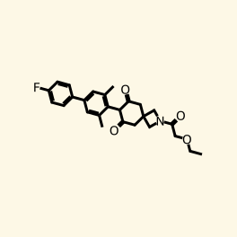 CCOCC(=O)N1CC2(CC(=O)C(c3c(C)cc(-c4ccc(F)cc4)cc3C)C(=O)C2)C1